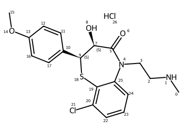 CNCCN1C(=O)[C@H](O)[C@H](c2ccc(OC)cc2)Sc2c(Cl)cccc21.Cl